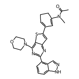 CC(=O)N(C)C1=CC(c2cc3nc(-c4cccc5[nH]ncc45)nc(N4CCOCC4)c3s2)=CCC1